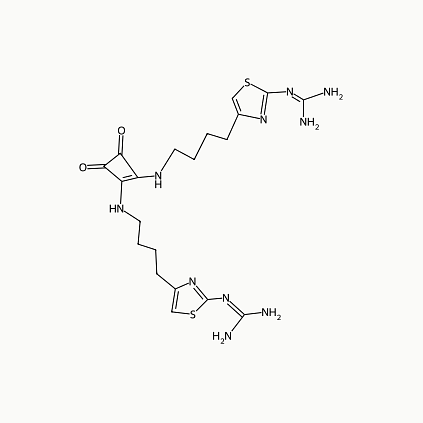 NC(N)=Nc1nc(CCCCNc2c(NCCCCc3csc(N=C(N)N)n3)c(=O)c2=O)cs1